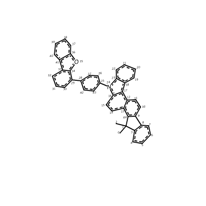 CC1(C)c2ccccc2-c2ccc3c(ccc4c3c3ccccc3n4-c3ccc(-c4cccc5c4oc4ccccc45)cc3)c21